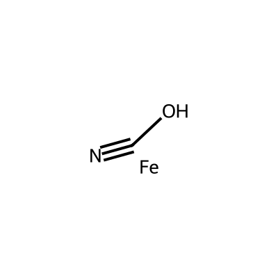 N#CO.[Fe]